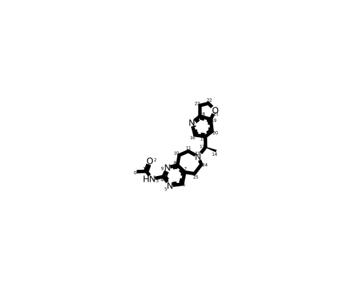 CC(=O)Nc1ncc2c(n1)CCN([C@H](C)c1cnc3c(c1)OCC3)CC2